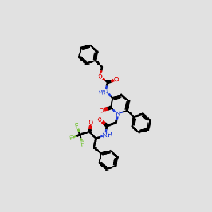 O=C(Cn1c(-c2ccccc2)ccc(NC(=O)OCc2ccccc2)c1=O)NC(Cc1ccccc1)C(=O)C(F)(F)F